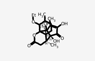 CCOC1C(C)CC[C@@]2(OCC)C13OC(=O)C[C@]2(C)[C@@]1(O)C(=O)C(O)=C(C)C31O